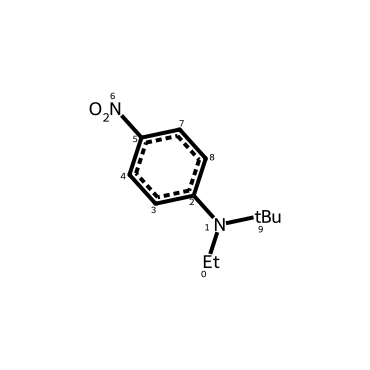 CCN(c1ccc([N+](=O)[O-])cc1)C(C)(C)C